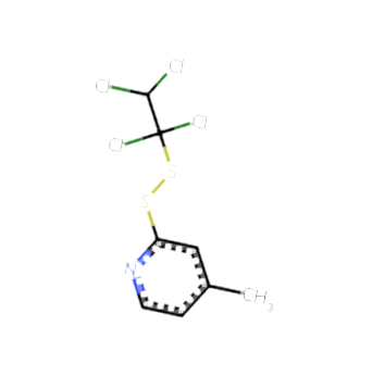 Cc1ccnc(SSC(Cl)(Cl)C(Cl)Cl)c1